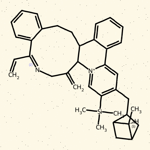 C=C/C1=N/CC(=C)C2C(CCc3ccccc31)c1ccccc1-c1cc(CC3CC4CC3[C@H]4C)c([Si](C)(C)C)c[n+]12